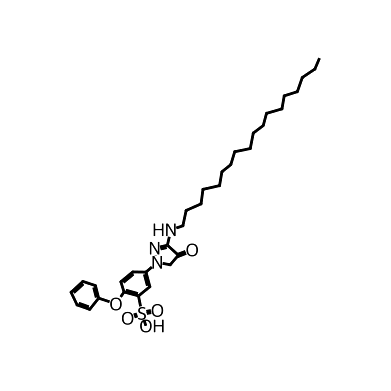 CCCCCCCCCCCCCCCCCCNC1=NN(c2ccc(Oc3ccccc3)c(S(=O)(=O)O)c2)CC1=O